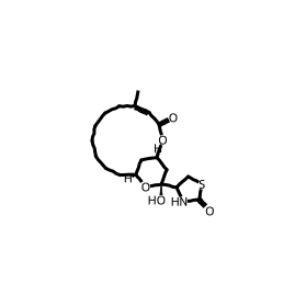 C/C1=C/C(=O)O[C@@H]2C[C@@H](CCCCCCC1)O[C@@](O)(C1CSC(=O)N1)C2